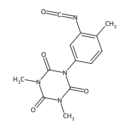 Cc1ccc(-n2c(=O)n(C)c(=O)n(C)c2=O)cc1N=C=O